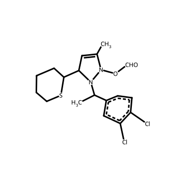 CC1=CC(C2CCCCS2)N(C(C)c2ccc(Cl)c(Cl)c2)N1OC=O